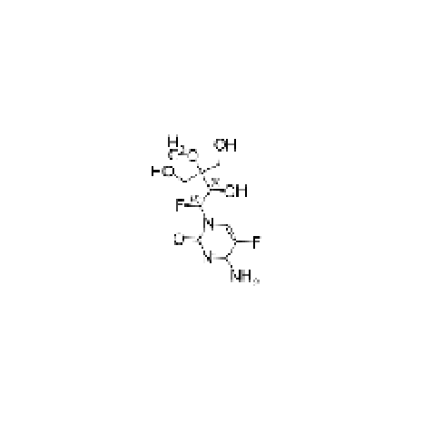 COC(CO)(CO)[C@@H](O)[C@H](F)n1cc(F)c(N)nc1=O